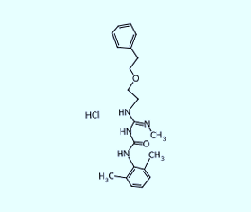 CN=C(NCCOCCc1ccccc1)NC(=O)Nc1c(C)cccc1C.Cl